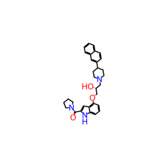 O=C(c1cc2c(OC[C@H](O)CN3CCC(c4ccc5ccccc5c4)CC3)cccc2[nH]1)N1CCCC1